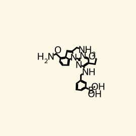 NCc1cc2c(C(N)=O)cccc2n1-c1nc(NCc2cccc(B(O)O)c2)c2c(n1)OCC2